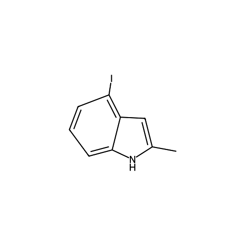 Cc1cc2c(I)cccc2[nH]1